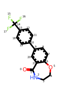 O=C1NCCOc2ccc(-c3ccc(C(F)(F)F)cc3)cc21